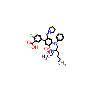 CCCCC1CN(c2ccccc2)c2cc(CN3CCCC3)c(-c3ccc(F)c(C(=O)O)c3)cc2S(=O)(=O)N1CC